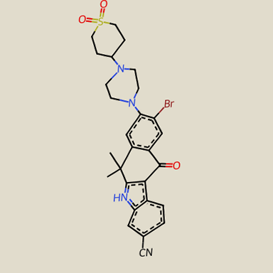 CC1(C)c2cc(N3CCN(C4CCS(=O)(=O)CC4)CC3)c(Br)cc2C(=O)c2c1[nH]c1cc(C#N)ccc21